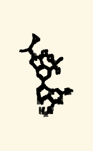 CC(C1CC1)N1Cc2cc(-c3cnc4c(N)nc(Br)cn34)cc(S(C)(=O)=O)c2C1=O